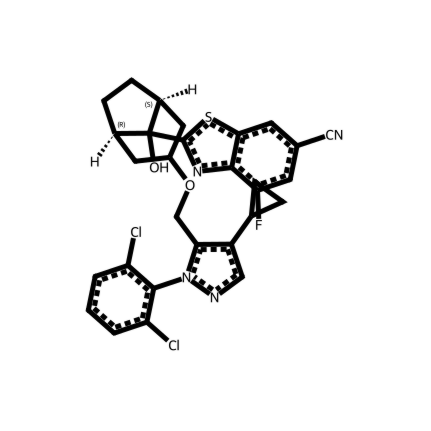 N#Cc1cc(F)c2nc(C3(O)[C@@H]4CC[C@H]3CC(OCc3c(C5CC5)cnn3-c3c(Cl)cccc3Cl)C4)sc2c1